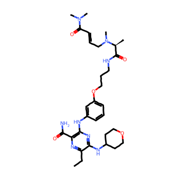 CCc1nc(C(N)=O)c(Nc2cccc(OCCCNC(=O)[C@H](C)N(C)C/C=C/C(=O)N(C)C)c2)nc1NC1CCOCC1